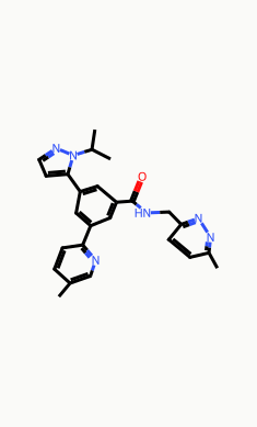 Cc1ccc(-c2cc(C(=O)NCc3ccc(C)nn3)cc(-c3ccnn3C(C)C)c2)nc1